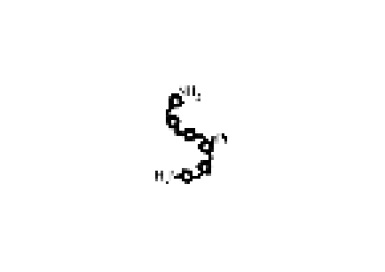 CCCc1cc(Cc2ccc(Cc3ccc(N)cc3)cc2)ccc1Cc1ccc(Cc2ccc(Cc3ccc(N)cc3)cc2)cc1